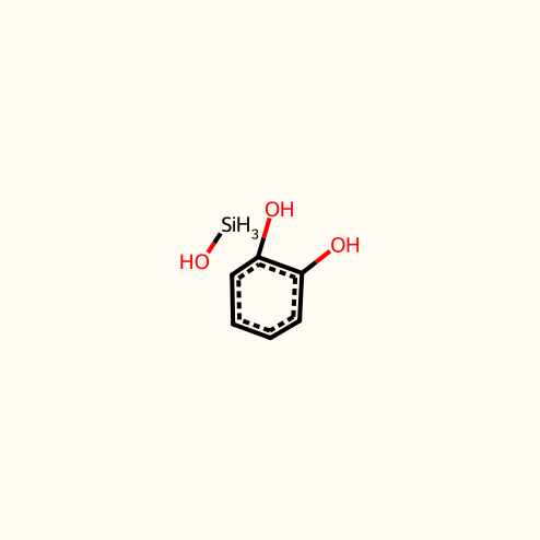 O[SiH3].Oc1ccccc1O